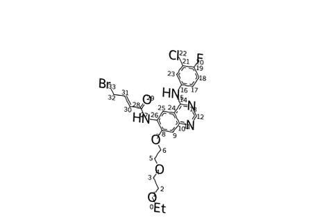 CCOCCOCCOc1cc2ncnc(Nc3ccc(F)c(Cl)c3)c2cc1NC(=O)/C=C/CBr